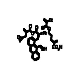 C=C(CC1CO1)C(=O)OC(=O)C(=Cc1cccc2cc3ccccc3c(C=N)c12)CCC.C=C(CCCOC(=O)C(=C)CC)C(=O)O